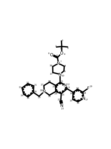 CC(C)(C)OC(=O)N1CCN(c2nc(-c3ccnc(F)c3)c(C#N)c3c2CCN(Cc2ccccc2)C3)CC1